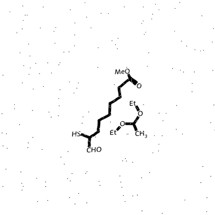 CCOC(C)OCC.COC(=O)CCCCCCC(S)C=O